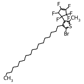 CCCCCCCCCCCCCCCCCCc1c(Br)sc(C)c1C1(F)C(F)C(F)=C(F)C1(F)F